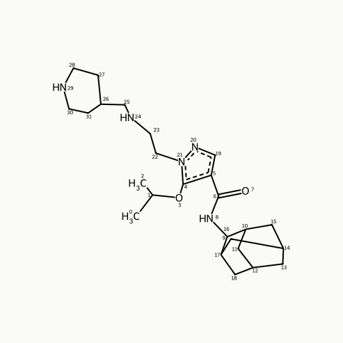 CC(C)Oc1c(C(=O)NC2C3CC4CC(C3)CC2C4)cnn1CCNCC1CCNCC1